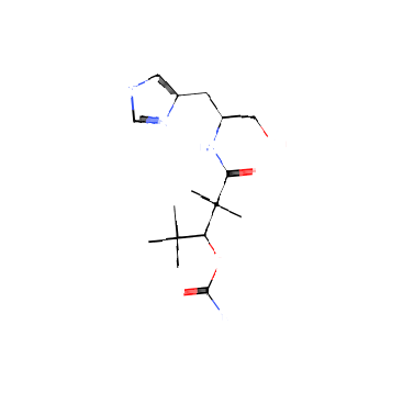 CC(C)(C)C(OC(N)=O)C(C)(C)C(=O)NC(CO)Cc1c[nH]cn1